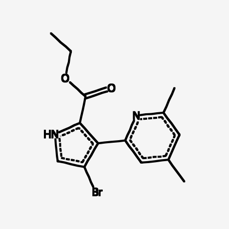 CCOC(=O)c1[nH]cc(Br)c1-c1cc(C)cc(C)n1